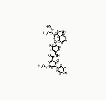 CCn1cc(C(=O)Nc2ccc(Oc3ccnc4[nH]nc(NC(C)CO)c34)c(F)c2)c(=O)c(-c2ccc(F)cc2)c1